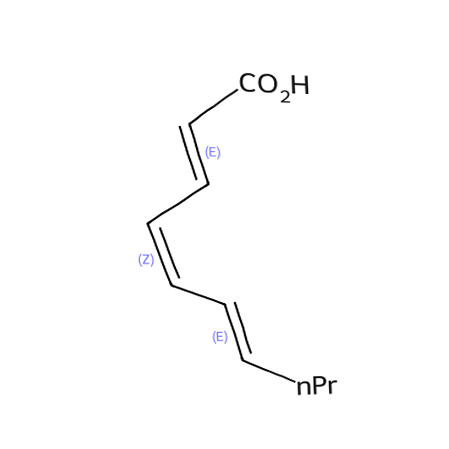 CCC/C=C/C=C\C=C\C(=O)O